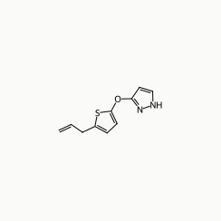 C=CCc1ccc(Oc2cc[nH]n2)s1